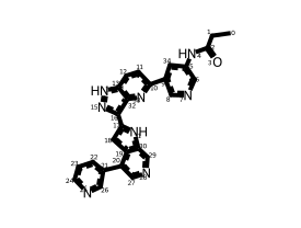 CCC(=O)Nc1cncc(-c2ccc3[nH]nc(-c4cc5c(-c6cccnc6)cncc5[nH]4)c3n2)c1